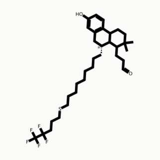 CC1(C)CCC2c3ccc(O)cc3C[C@@H](CCCCCCCCCSCCCC(F)(F)C(F)(F)F)C2C1CCC=O